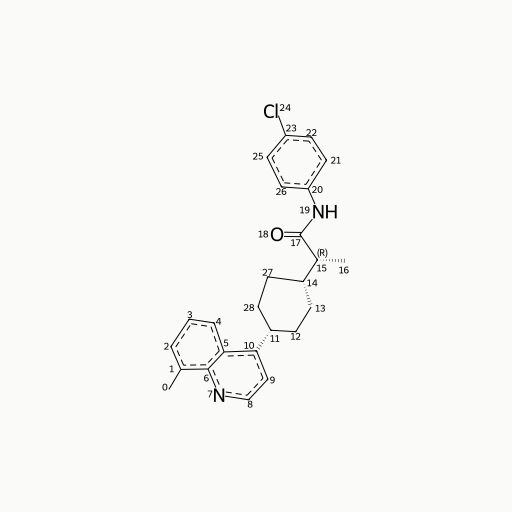 Cc1cccc2c1nccc2[C@H]1CC[C@@H]([C@@H](C)C(=O)Nc2ccc(Cl)cc2)CC1